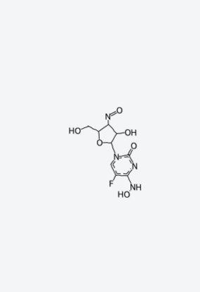 O=NC1C(CO)OC(n2cc(F)c(NO)nc2=O)C1O